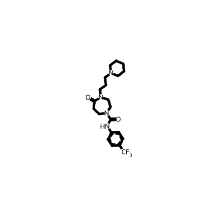 O=C1CCN(C(=O)Nc2ccc(C(F)(F)F)cc2)CCN1CCCN1CCCCC1